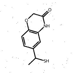 CC(S)c1ccc2c(c1)NC(=O)CO2